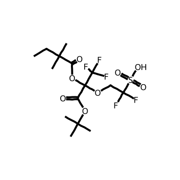 CCC(C)(C)C(=O)OC(OCC(F)(F)S(=O)(=O)O)(C(=O)OC(C)(C)C)C(F)(F)F